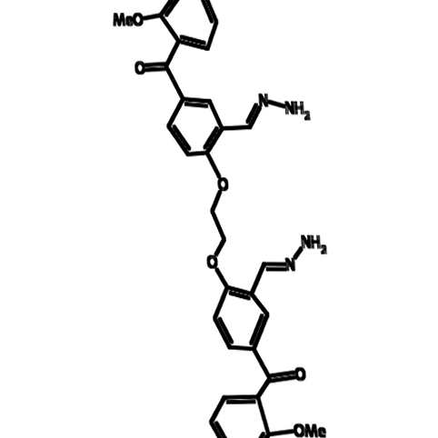 COc1ccccc1C(=O)c1ccc(OCCOc2ccc(C(=O)c3ccccc3OC)cc2C=NN)c(C=NN)c1